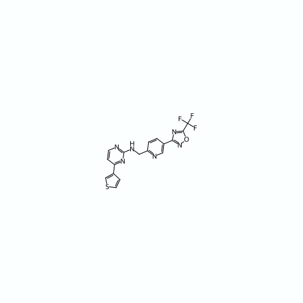 FC(F)(F)c1nc(-c2ccc(CNc3nccc(-c4ccsc4)n3)nc2)no1